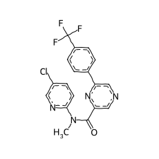 CN(C(=O)c1cncc(-c2ccc(C(F)(F)F)cc2)n1)c1ccc(Cl)cn1